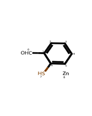 O=Cc1ccccc1S.[Zn]